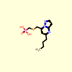 CCCCc1cc(CSCP(=O)(O)O)n2nccc2n1